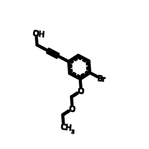 CCOCOc1cc(C#CCO)ccc1Br